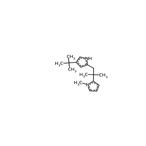 Cn1cccc1C(C)(C)Cc1cc(C(C)(C)C)c[nH]1